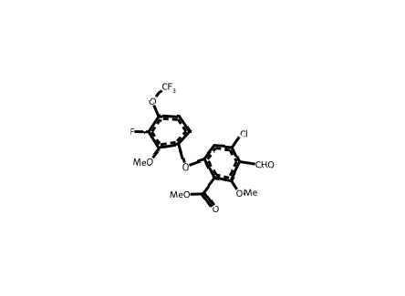 COC(=O)c1c(Oc2ccc(OC(F)(F)F)c(F)c2OC)cc(Cl)c(C=O)c1OC